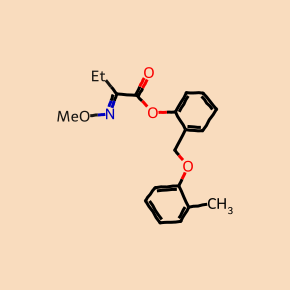 CCC(=NOC)C(=O)Oc1ccccc1COc1ccccc1C